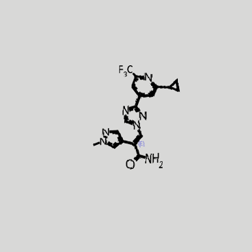 Cn1cc(/C(=C\n2cnc(-c3cc(C4CC4)nc(C(F)(F)F)c3)n2)C(N)=O)cn1